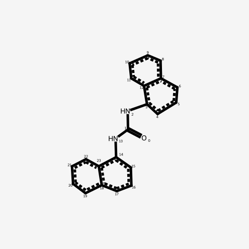 O=C(Nc1cccc2ccccc12)Nc1cccc2ccccc12